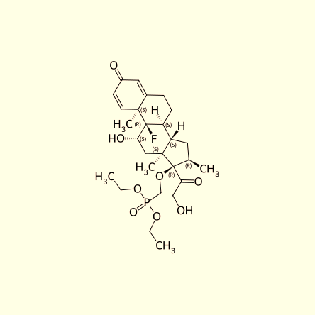 CCOP(=O)(CO[C@]1(C(=O)CO)[C@H](C)C[C@H]2[C@@H]3CCC4=CC(=O)C=C[C@]4(C)[C@@]3(F)[C@@H](O)C[C@@]21C)OCC